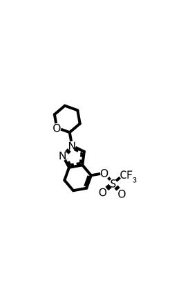 O=S(=O)(OC1=CCCc2nn(C3CCCCO3)cc21)C(F)(F)F